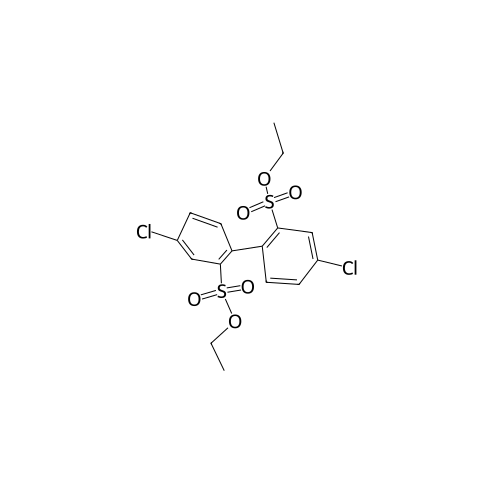 CCOS(=O)(=O)c1cc(Cl)ccc1-c1ccc(Cl)cc1S(=O)(=O)OCC